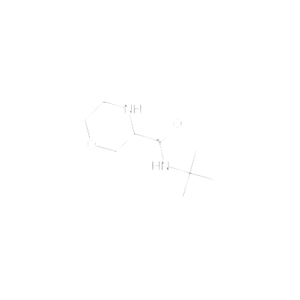 CC(C)(C)NC(=O)C1COCCN1